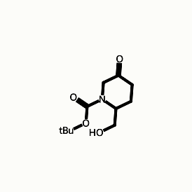 CC(C)(C)OC(=O)N1CC(=O)CCC1CO